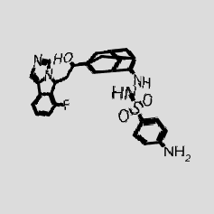 Nc1ccc(S(=O)(=O)NNC2C3CC4CC2CC(C(O)CC2c5c(F)cccc5-c5cncn52)(C4)C3)cc1